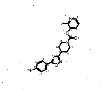 Cc1ncccc1OC(=O)N1CCC(c2noc(-c3ccc(F)cc3)n2)CC1